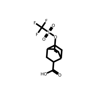 O=C(O)C1CC2CCC1C=C2OS(=O)(=O)C(F)(F)F